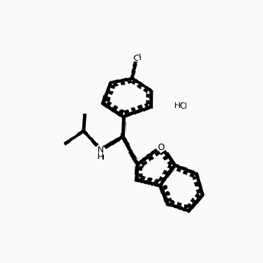 CC(C)NC(c1ccc(Cl)cc1)c1cc2ccccc2o1.Cl